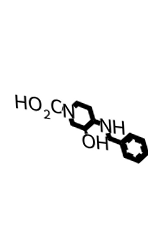 O=C(O)N1CCC(NCc2ccccc2)[C@@H](O)C1